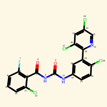 O=C(NC(=O)c1c(F)cccc1Cl)Nc1ccc(Cl)c(-c2ncc(Cl)cc2Cl)c1